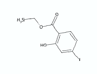 O=C(OC[SiH3])c1ccc(I)cc1O